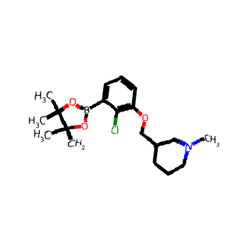 CN1CCCC(COc2cccc(B3OC(C)(C)C(C)(C)O3)c2Cl)C1